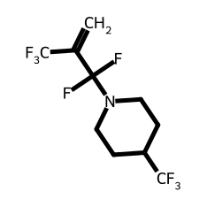 C=C(C(F)(F)F)C(F)(F)N1CCC(C(F)(F)F)CC1